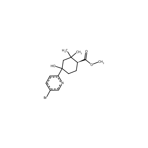 COC(=O)[C@H]1CCC(O)(c2ccc(Br)cn2)CC1(C)C